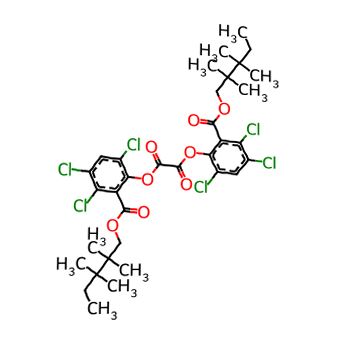 CCC(C)(C)C(C)(C)COC(=O)c1c(Cl)c(Cl)cc(Cl)c1OC(=O)C(=O)Oc1c(Cl)cc(Cl)c(Cl)c1C(=O)OCC(C)(C)C(C)(C)CC